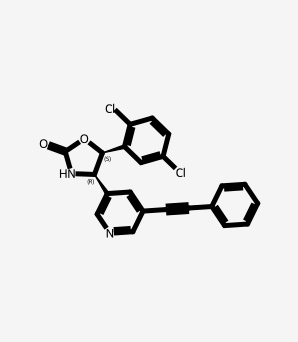 O=C1N[C@H](c2cncc(C#Cc3ccccc3)c2)[C@H](c2cc(Cl)ccc2Cl)O1